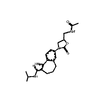 CC(=O)NCC1CN(c2ccc3c(c2)CCCc2c(NC(C)C)n[nH]c2-3)C(=O)O1